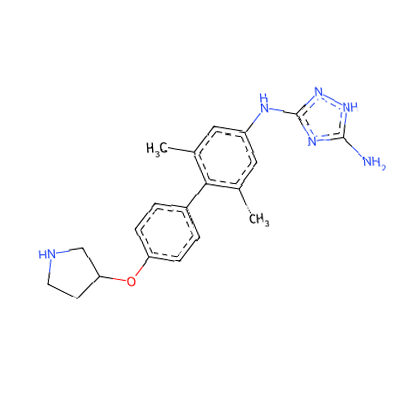 Cc1cc(Nc2n[nH]c(N)n2)cc(C)c1-c1ccc(OC2CCNC2)cc1